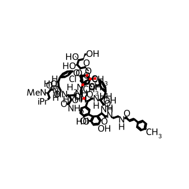 CN[C@H](CC(C)C)C(=O)N[C@H]1C(=O)N[C@@H](CC(N)=O)C(=O)NC2C(=O)N[C@H]3C(=O)N[C@H](C(=O)NC(C(=O)NCCNC(=O)/C=C/c4ccc(C)cc4)c4cc(O)cc(O)c4-c4cc3ccc4O)[C@H](O)c3ccc(c(Cl)c3)Oc3cc2cc(c3O[C@@H]2O[C@H](CO)[C@@H](O)[C@H](O)[C@H]2OC2C[C@](C)(N)[C@H](O)[C@H](C)O2)Oc2ccc(cc2Cl)[C@H]1O